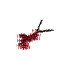 CCCCCCCCCCCCC/C=C/[C@@H](O)[C@H](CO[C@@H]1OC(CO)[C@@H](O[C@@H]2OC(CO)[C@H](O)[C@H](O[C@@H]3OC(CO)[C@@H](O[C@@H]4OC(CO)[C@H](O)[C@H](O[C@@H]5OC(CO)[C@@H](O[C@@H]6OC(CO)[C@H](O)[C@H](O[C@@H]7OC(CO)[C@@H](O[C@@H]8OC(CO)[C@H](O)[C@H](O)C8O)[C@H](O)C7NC(C)=O)C6O)[C@H](O[C@H]6OC(C)[C@@H](O)C(O)[C@@H]6O)C5NC(C)=O)C4O)[C@H](O)C3NC(C)=O)C2O)[C@H](O)C1O)NC(=O)CCCCCCCCCCCCCCCCC